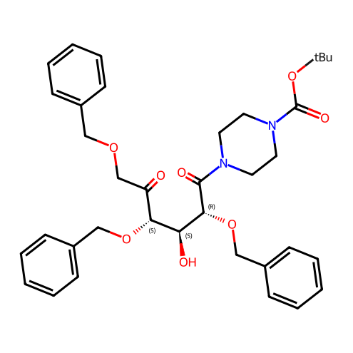 CC(C)(C)OC(=O)N1CCN(C(=O)[C@H](OCc2ccccc2)[C@@H](O)[C@H](OCc2ccccc2)C(=O)COCc2ccccc2)CC1